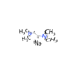 CN(C)CCN(C)C.[Na]